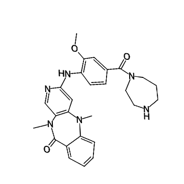 COc1cc(C(=O)N2CCCNCC2)ccc1Nc1cc2c(cn1)N(C)C(=O)c1ccccc1N2C